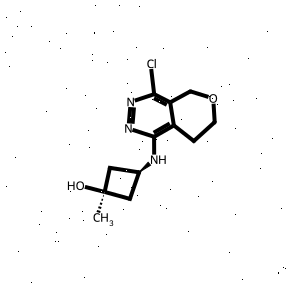 C[C@]1(O)C[C@@H](Nc2nnc(Cl)c3c2CCOC3)C1